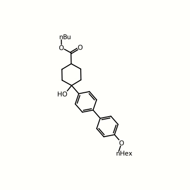 CCCCCCOc1ccc(-c2ccc(C3(O)CCC(C(=O)OCCCC)CC3)cc2)cc1